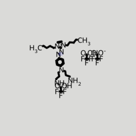 CCCCCn1cc[n+](CCCCC)c1/N=N/c1ccc(N(CCCN)CCCN)cc1.O=C(O)C(F)(F)F.O=C(O)C(F)(F)F.O=C([O-])C(F)(F)F